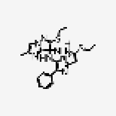 CCSC1=Nn2cc(C)nc2C1(N)Nc1c(-c2ccccc2)nc2cc(SCC)[nH]n12